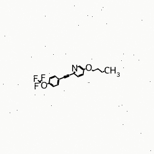 CCCCOc1ccc(C#Cc2ccc(OC(F)(F)F)cc2)nc1